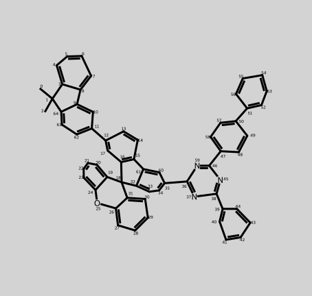 CC1(C)c2ccccc2-c2cc(-c3ccc4c(c3)C3(c5ccccc5Oc5ccccc53)c3ccc(-c5nc(-c6ccccc6)nc(-c6ccc(-c7ccccc7)cc6)n5)cc3-4)ccc21